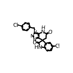 O=C1CC2(C(=O)Nc3ccc(Cl)cc32)c2nnn(Cc3ccc(Cl)cc3)c2N1